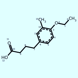 CCOc1ccc(CCCC(=O)O)cc1C